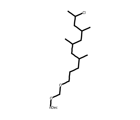 CCCCCCCCCCOCOCCCC(C)CC(C)CC(C)CC(C)Cl